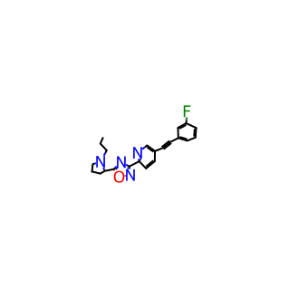 CCCN1CCCC1c1nc(-c2ccc(C#Cc3cccc(F)c3)cn2)no1